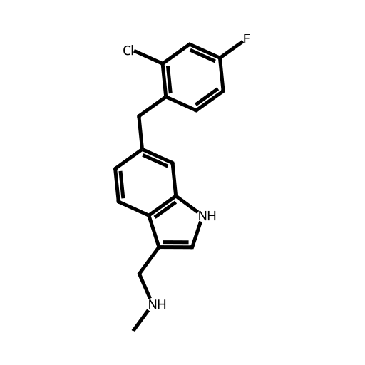 CNCc1c[nH]c2cc(Cc3ccc(F)cc3Cl)ccc12